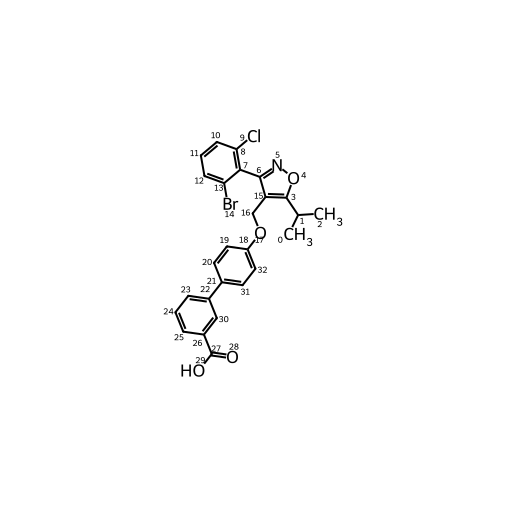 CC(C)c1onc(-c2c(Cl)cccc2Br)c1COc1ccc(-c2cccc(C(=O)O)c2)cc1